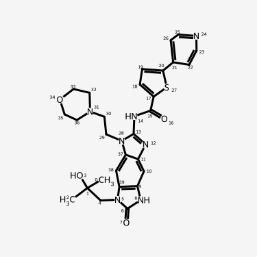 CC(C)(O)Cn1c(=O)[nH]c2cc3nc(NC(=O)c4ccc(-c5ccncc5)s4)n(CCN4CCOCC4)c3cc21